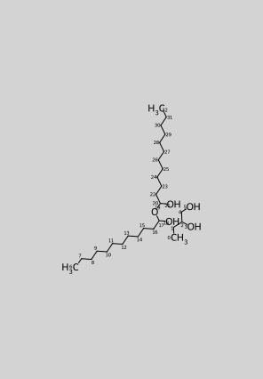 CCC(O)CO.CCCCCCCCCCCC(O)OC(O)CCCCCCCCCCC